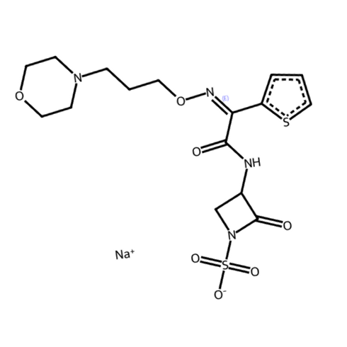 O=C(NC1CN(S(=O)(=O)[O-])C1=O)/C(=N\OCCCN1CCOCC1)c1cccs1.[Na+]